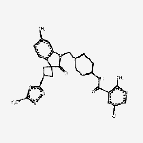 Cc1ccc2c(c1)N(CC1CCC(NC(=O)c3cc(Cl)cnc3C)CC1)C(=O)C21CN(c2nnc(C)s2)C1